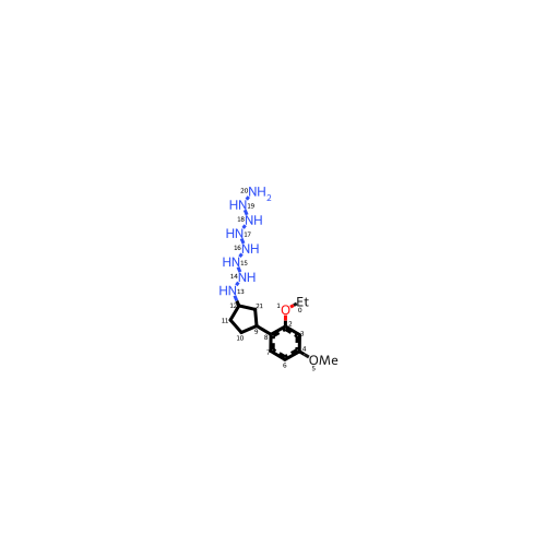 CCOc1cc(OC)ccc1C1CCC(NNNNNNNN)C1